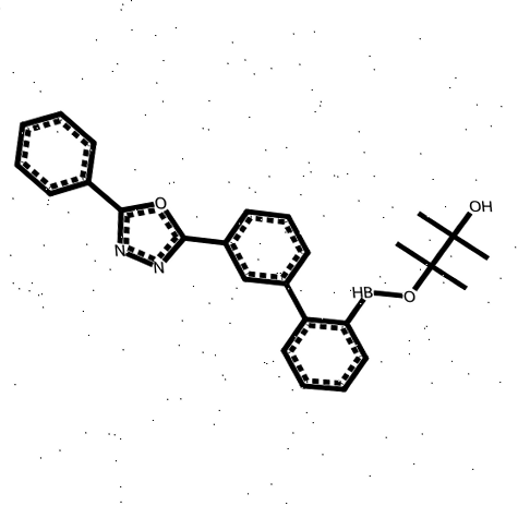 CC(C)(O)C(C)(C)OBc1ccccc1-c1cccc(-c2nnc(-c3ccccc3)o2)c1